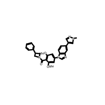 COc1cc(-n2cnc3cc(-c4cnn(C)c4)ccc32)cc(OC)c1C(=O)N1CC(c2ccccc2)C1